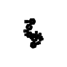 Cc1cc(C)c(C(=O)N2CCN(c3ccccc3C#N)CC2)cc1CC1(NC(=O)OC(C)(C)C)CCN(c2ccccc2C#N)CC1